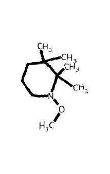 CON1CCCC(C)(C)C1(C)C